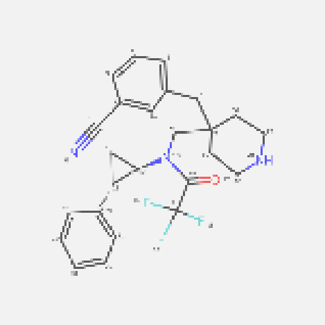 N#Cc1cccc(CC2(CN(C(=O)C(F)(F)F)[C@@H]3C[C@H]3c3ccccc3)CCNCC2)c1